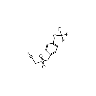 N#CCS(=O)(=O)Cc1ccc(OC(F)(F)F)cc1